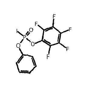 O=P(I)(Oc1ccccc1)Oc1c(F)c(F)c(F)c(F)c1F